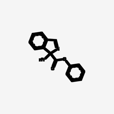 CCCC1(C(=O)Oc2ccccc2)N=Cc2ccccc21